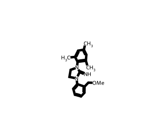 COCc1ccccc1N1CCN(c2c(C)cc(C)cc2C)C1=N